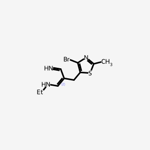 CCN/C=C(\C=N)Cc1sc(C)nc1Br